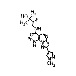 CC(C)Nc1c(C(=O)NCC(F)C(C)(C)O)cnc2cc(-c3cnn(C)c3)nn12